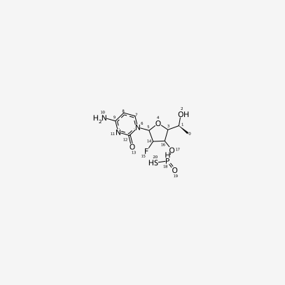 C[C@H](O)C1OC(n2ccc(N)nc2=O)C(F)C1O[PH](=O)S